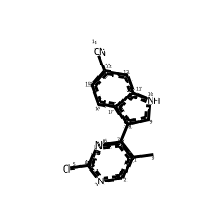 Cc1cnc(Cl)nc1-c1c[nH]c2cc(C#N)ccc12